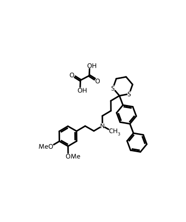 COc1ccc(CCN(C)CCCC2(c3ccc(-c4ccccc4)cc3)SCCCS2)cc1OC.O=C(O)C(=O)O